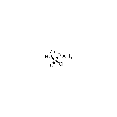 O=S(=O)(O)O.[AlH3].[Zn]